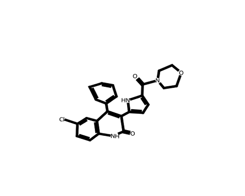 O=C(c1ccc(-c2c(-c3ccccc3)c3cc(Cl)ccc3[nH]c2=O)[nH]1)N1CCOCC1